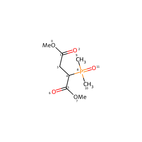 COC(=O)CC(C(=O)OC)P(C)(C)=O